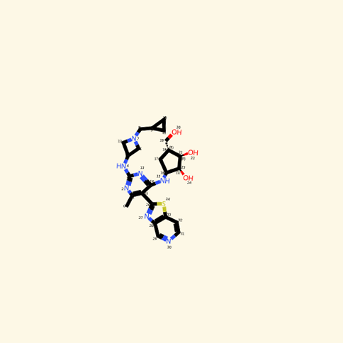 Cc1nc(NC2CN(CC3CC3)C2)nc(NC2C[C@H](CO)[C@@H](O)[C@H]2O)c1-c1nc2cnccc2s1